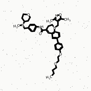 CCCCOCCOc1ccc(-c2ccc3c(c2)C=C(C(=O)Nc2ccc(CN(C)C4CCOCC4)cc2)CCN3Cc2c(C)noc2C)cc1